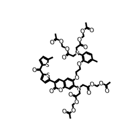 CC(=O)OCOC(=O)CN(CC(=O)OCOC(C)=O)c1ccc(C)cc1OCCOc1cc2cc(-c3ccc(C(=O)c4ccc(C)s4)s3)c(=O)oc2cc1N(CC(=O)OCOC(C)=O)CC(=O)OCOC(C)=O